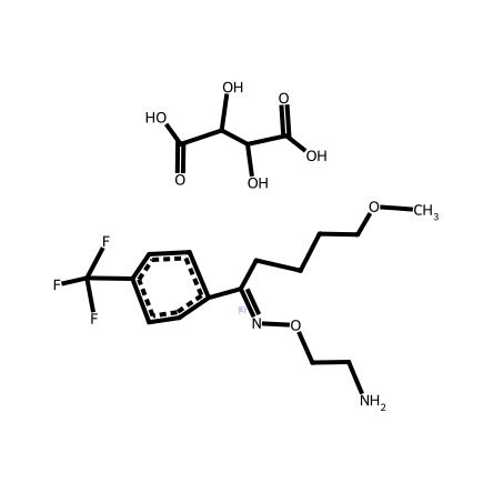 COCCCC/C(=N\OCCN)c1ccc(C(F)(F)F)cc1.O=C(O)C(O)C(O)C(=O)O